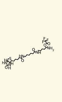 NC(CCCCNC(=O)CCCCCNC(=O)CCCCC1SC[C@@H]2NC(=O)N[C@H]12)OC(=O)C(F)(F)F